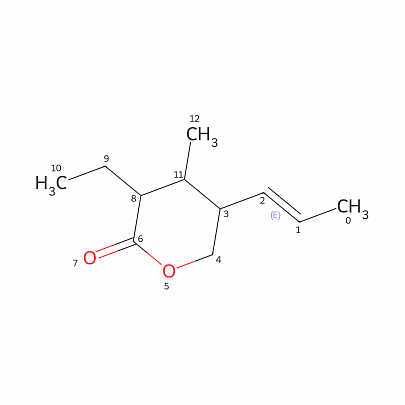 C/C=C/C1COC(=O)C(CC)C1C